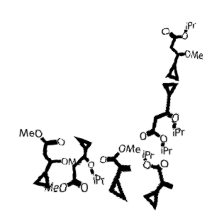 C=C(C(=O)OC(C)C)C1CC1.C=C(C(=O)OC)C1CC1.CC(C)OC(=O)CC(OC(C)C)C1CC1.COC(=O)CC(OC(C)C)C1CC1.COC(=O)CC(OC)C1CC1.COC(CC(=O)OC(C)C)C1CC1